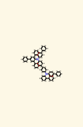 c1ccc(-c2ccc(N(c3ccc(-c4ccc(N(c5ccc(-c6ccccc6)cc5)c5c(-c6ccccc6)cc(-c6ccccc6)cc5-c5ccccc5)cc4)cc3)c3ccccc3-c3ccccc3)cc2)cc1